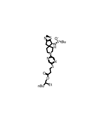 CCCCC(CC)COC(=O)CCSc1cnc(N2CCC3(CC2)Cc2ncsc2[C@H]3N[S@+]([O-])C(C)(C)C)cn1